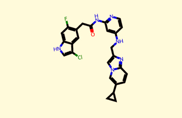 O=C(Cc1cc2c(Cl)c[nH]c2cc1F)Nc1cc(NCc2cn3cc(C4CC4)ccc3n2)ccn1